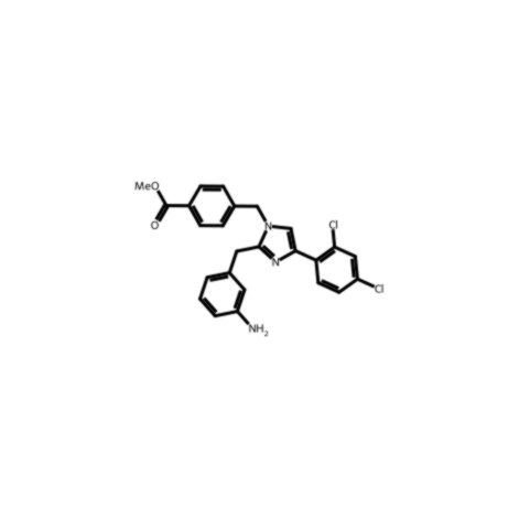 COC(=O)c1ccc(Cn2cc(-c3ccc(Cl)cc3Cl)nc2Cc2cccc(N)c2)cc1